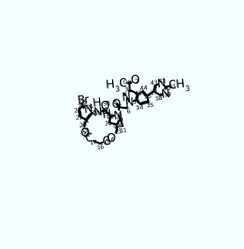 CC(=O)c1nn(CC(=O)N2C3C[C@@]34COCCCCOCc3ccc(Br)nc3NC(=O)[C@@H]2C4)c2ccc(-c3cnc(C)nc3)cc12